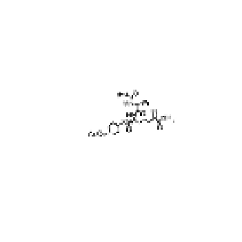 CCC(C)C(=O)NC(C(=O)N[C@@H](CCCNC(N)=O)C(=O)Nc1ccc(COC(C)=O)cc1)C(C)C